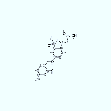 O=C(O)CC1CS(=O)(=O)c2cc(OCc3ccc(Cl)cc3Cl)ccc21